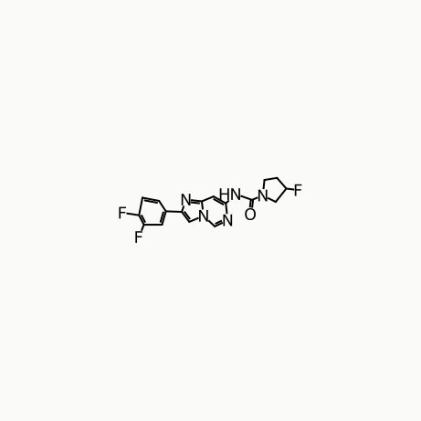 O=C(Nc1cc2nc(-c3ccc(F)c(F)c3)cn2cn1)N1CCC(F)C1